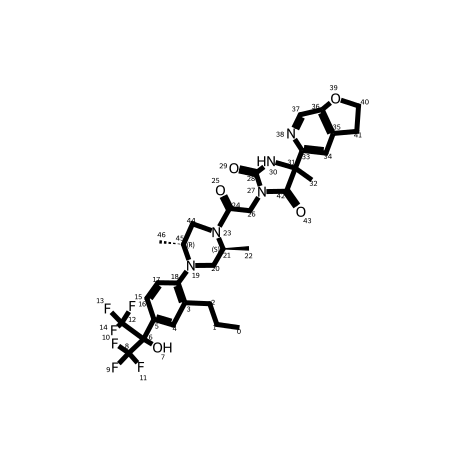 CCCc1cc(C(O)(C(F)(F)F)C(F)(F)F)ccc1N1C[C@H](C)N(C(=O)CN2C(=O)NC(C)(c3cc4c(cn3)OCC4)C2=O)C[C@H]1C